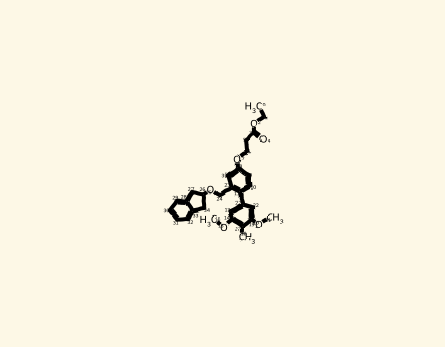 CCOC(=O)CCOc1ccc(-c2cc(OC)c(C)c(OC)c2)c(COC2Cc3ccccc3C2)c1